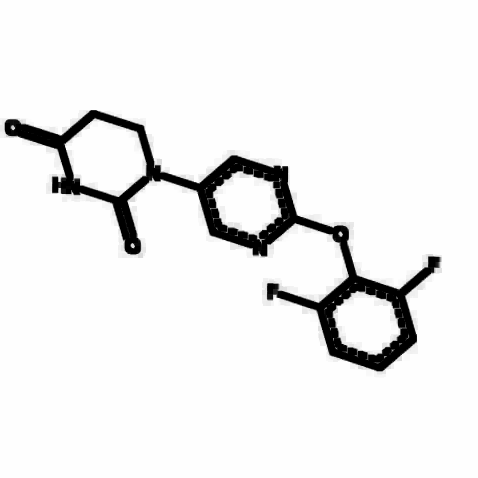 O=C1CCN(c2cnc(Oc3c(F)cccc3F)nc2)C(=O)N1